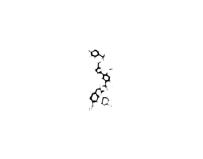 COc1cc(Cl)c(C(=O)NC(Cc2ccc(C#N)cc2)C(=O)N[C@H]2CC[C@H](N)CC2)cc1-c1ccc(CNC(C)c2ccc(C)cc2)o1